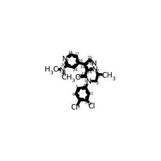 CC1CN(c2ccc(Cl)c(Cl)c2)C(=O)c2c(-c3ccnc(N(C)C)c3)cnn21